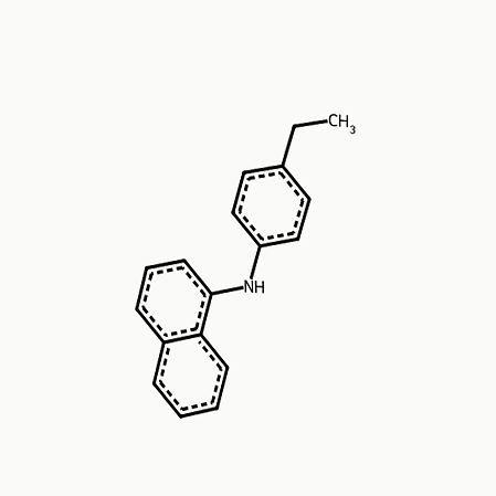 CCc1ccc(Nc2cccc3ccccc23)cc1